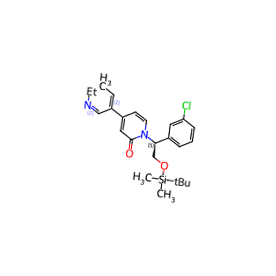 C/C=C(\C=N/CC)c1ccn([C@H](CO[Si](C)(C)C(C)(C)C)c2cccc(Cl)c2)c(=O)c1